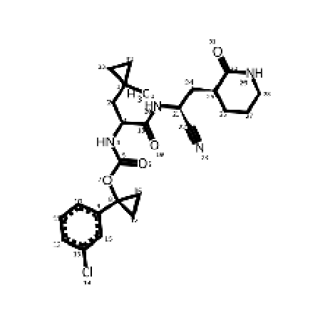 CC1(CC(NC(=O)OC2(c3cccc(Cl)c3)CC2)C(=O)N[C@H](C#N)C[C@@H]2CCCNC2=O)CC1